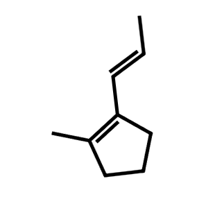 CC=CC1=C(C)CCC1